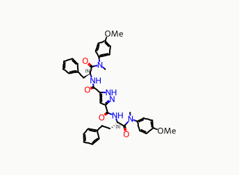 COc1ccc(N(C)C(=O)[C@H](CCc2ccccc2)NC(=O)c2cc(C(=O)N[C@@H](Cc3ccccc3)C(=O)N(C)c3ccc(OC)cc3)[nH]n2)cc1